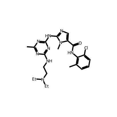 CCN(CC)CCNc1nc(C)nc(Nc2ncc(C(=O)Nc3c(C)cccc3Cl)n2C)n1